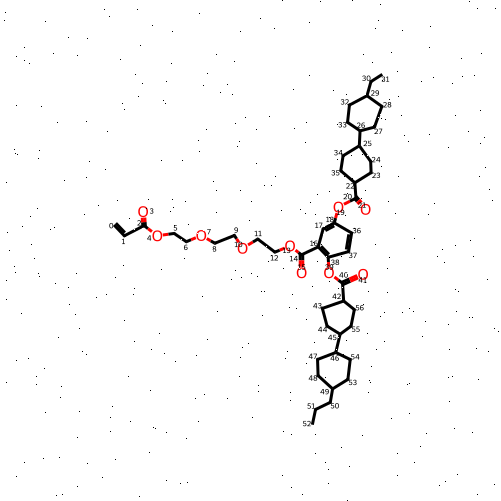 C=CC(=O)OCCOCCOCCOC(=O)c1cc(OC(=O)C2CCC(C3CCC(CC)CC3)CC2)ccc1OC(=O)C1CCC(C2CCC(CCC)CC2)CC1